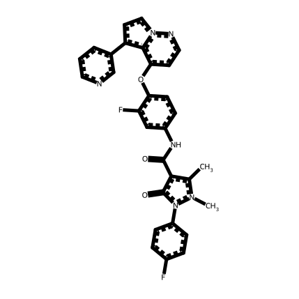 Cc1c(C(=O)Nc2ccc(Oc3ccnn4ccc(-c5cccnc5)c34)c(F)c2)c(=O)n(-c2ccc(F)cc2)n1C